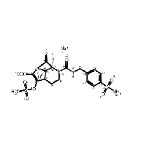 CS(=O)(=O)OC1=C(C(=O)[O-])N2C(=O)[C@@H]3[C@H]2C1CCN3C(=O)NCc1ccc(S(N)(=O)=O)cc1.[Na+]